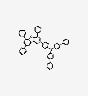 c1ccc(-c2ccc(N(c3ccc(-c4ccccc4)cc3)c3ccc(-c4cc(-c5ccccc5)c5oc6c(-c7ccccc7)cc(-c7ccccc7)cc6c5c4)cc3)cc2)cc1